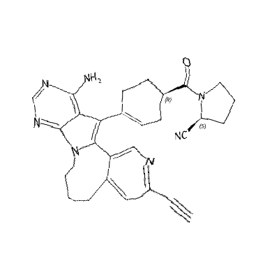 C#Cc1cc2c(cn1)-c1c(C3=CC[C@H](C(=O)N4CCC[C@H]4C#N)CC3)c3c(N)ncnc3n1CCC2